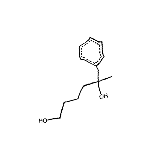 CC(O)(CCCCO)c1ccccc1